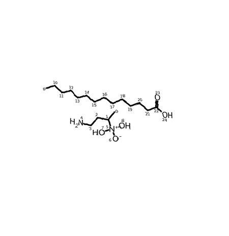 CC(CCN)[N+]([O-])(O)O.CCCCCCCCCCCCCC(=O)O